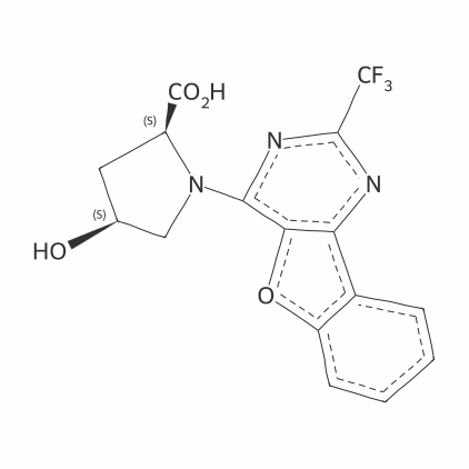 O=C(O)[C@@H]1C[C@H](O)CN1c1nc(C(F)(F)F)nc2c1oc1ccccc12